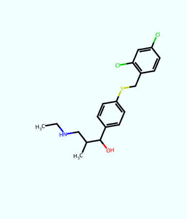 CCNCC(C)C(O)c1ccc(SCc2ccc(Cl)cc2Cl)cc1